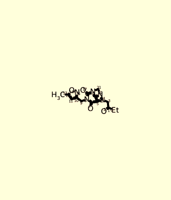 CCC(=O)Cn1c2c(=O)n(Cc3cc(C)on3)c(=O)n3c2n1C3